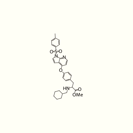 COC(=O)C(Cc1ccc(Oc2ccnc3c2ccn3S(=O)(=O)c2ccc(C)cc2)cc1)NCC1CCCCC1